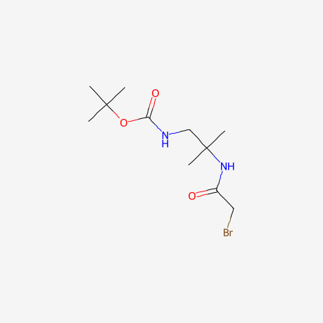 CC(C)(CNC(=O)OC(C)(C)C)NC(=O)CBr